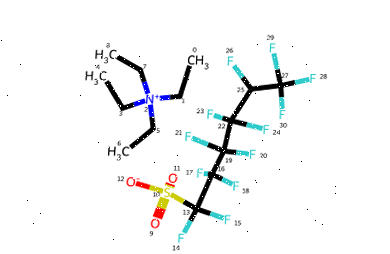 CC[N+](CC)(CC)CC.O=S(=O)([O-])C(F)(F)C(F)(F)C(F)(F)C(F)(F)C(F)C(F)(F)F